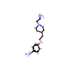 NCCN1CCC(CCOc2ccc(N)cc2)CC1